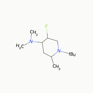 CC1CC(N(C)C)C(F)CN1C(C)(C)C